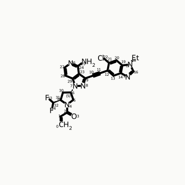 C=CC(=O)N1C[C@@H](n2nc(C#Cc3cc4ncn(CC)c4cc3Cl)c3c(N)nccc32)C[C@@H]1C(F)F